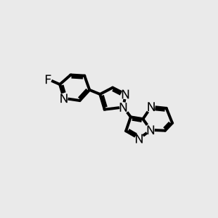 Fc1ccc(-c2cnn(-c3cnn4cccnc34)c2)cn1